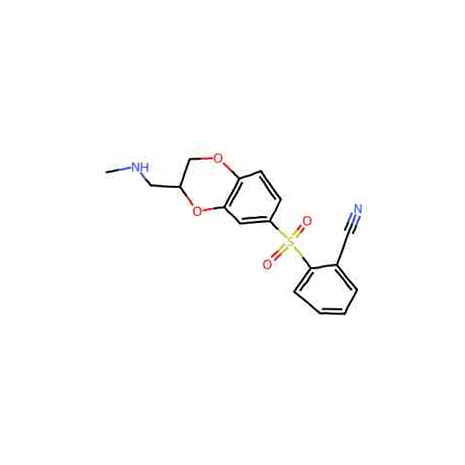 CNCC1COc2ccc(S(=O)(=O)c3ccccc3C#N)cc2O1